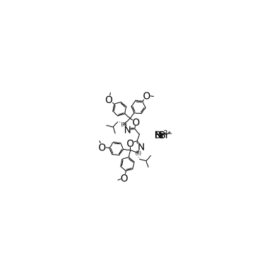 COc1ccc(C2(c3ccc(OC)cc3)OC(CC3=N[C@H](CC(C)C)C(c4ccc(OC)cc4)(c4ccc(OC)cc4)O3)=N[C@@H]2CC(C)C)cc1.[Br-].[Br-].[Ni+2]